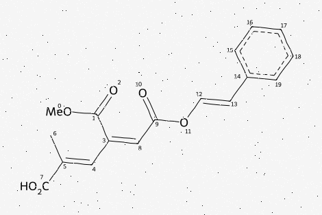 COC(=O)C(C=C(C)C(=O)O)=CC(=O)OC=Cc1ccccc1